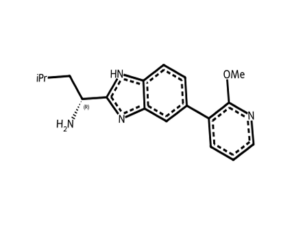 COc1ncccc1-c1ccc2[nH]c([C@H](N)CC(C)C)nc2c1